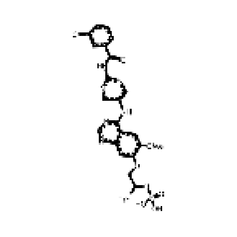 COc1cc2c(Nc3cnc(NC(=O)c4cccc(Cl)c4)nc3)ncnc2cc1OCC(C)OP(=O)(O)O